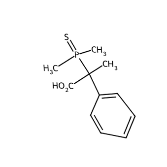 CC(C(=O)O)(c1ccccc1)P(C)(C)=S